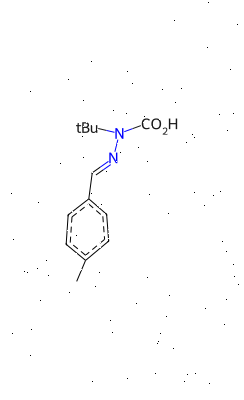 Cc1ccc(C=NN(C(=O)O)C(C)(C)C)cc1